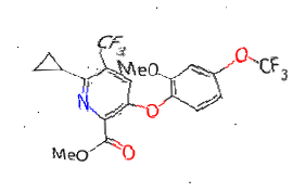 COC(=O)c1nc(C2CC2)c(C(F)(F)F)cc1Oc1ccc(OC(F)(F)F)cc1OC